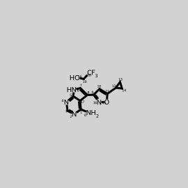 Nc1ncnc2[nH]cc(-c3cc(C4CC4)on3)c12.OCC(F)(F)F